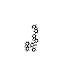 c1ccc(C2NC(c3cccc4c3oc3ccc(-c5ccc6oc7ccccc7c6c5)cc34)NC(c3cccc4oc5ccccc5c34)N2)cc1